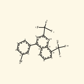 FC(F)(F)c1nc(-c2cccc(Br)c2)c2cccc(C(F)(F)F)c2n1